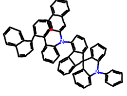 c1ccc(N2c3ccccc3C3(c4ccccc4-c4c(N(c5ccc6ccccc6c5)c5ccccc5-c5ccccc5-c5cccc6ccccc56)cccc43)c3ccccc32)cc1